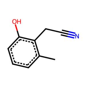 Cc1cccc(O)c1CC#N